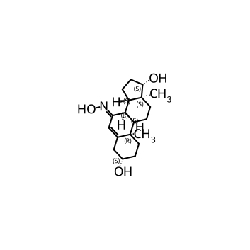 C[C@]12CC[C@H]3[C@@H](C(=NO)C=C4C[C@@H](O)CC[C@@]43C)[C@@H]1CC[C@@H]2O